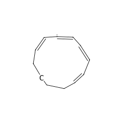 [C]1=CC=CC=CCCCCC=C1